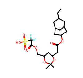 CCC1CC2CC(C1)CC(OC(=O)CC1CC(COC(=O)C(F)(F)S(=O)(=O)O)OC(C)(C)O1)C2